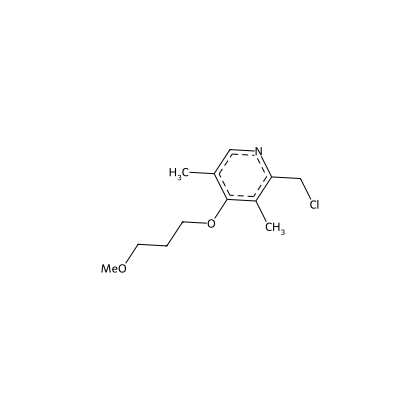 COCCCOc1c(C)cnc(CCl)c1C